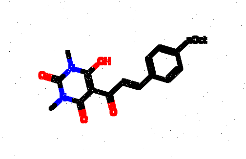 CCCCCCCCc1ccc(C=CC(=O)c2c(O)n(C)c(=O)n(C)c2=O)cc1